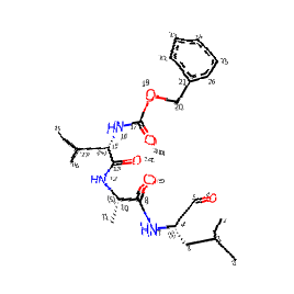 CC(C)C[C@@H](C=O)NC(=O)[C@H](C)NC(=O)[C@@H](NC(=O)OCc1ccccc1)C(C)C